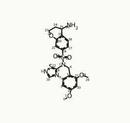 COc1ccc(CN(c2ncns2)S(=O)(=O)c2ccc3c(c2)OCCC3N)c(OC)c1